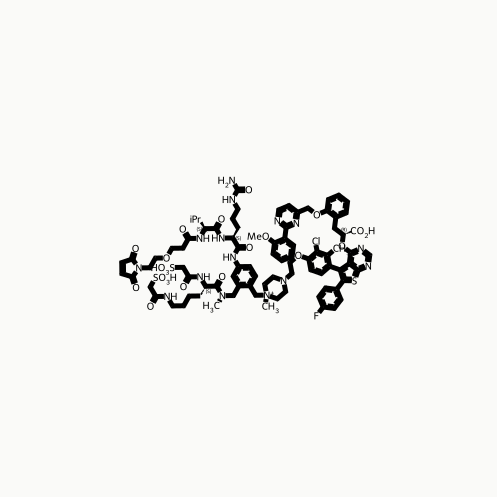 COc1ccccc1-c1nccc(COc2ccccc2C[C@@H](Oc2ncnc3sc(-c4ccc(F)cc4)c(-c4ccc(OCCN5CC[N+](C)(Cc6ccc(NC(=O)[C@H](CCCNC(N)=O)NC(=O)[C@@H](NC(=O)CCOCCN7C(=O)C=CC7=O)C(C)C)cc6CN(C)C(=O)[C@H](CCCCNC(=O)CS(=O)(=O)O)NC(=O)CS(=O)(=O)O)CC5)c(Cl)c4C)c23)C(=O)O)n1